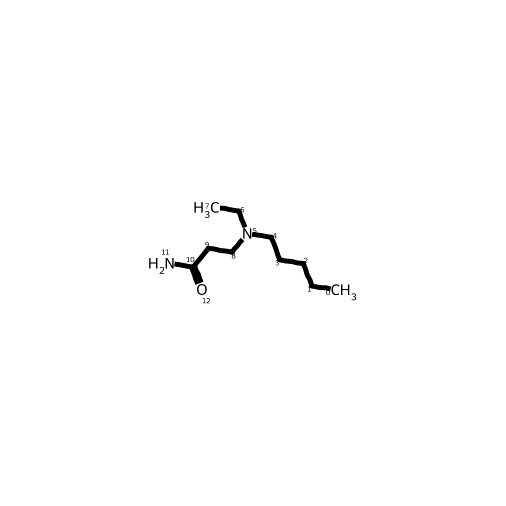 CCCCCN(CC)CCC(N)=O